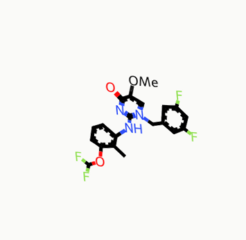 COc1cn(Cc2cc(F)cc(F)c2)c(Nc2cccc(OC(F)F)c2C)nc1=O